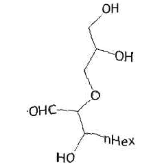 CCCCCCC(O)C([C]=O)OCC(O)CO